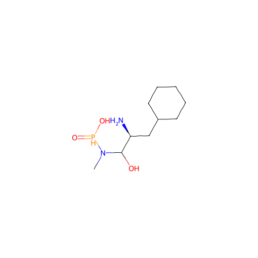 CN(C(O)[C@@H](N)CC1CCCCC1)[PH](=O)O